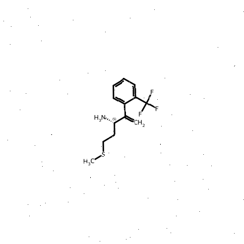 C=C(c1ccccc1C(F)(F)F)[C@@H](N)CCSC